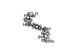 COC(=O)N[C@H](C(=O)N1CCC[C@H]1c1nc(-c2nc3cc4sc(-c5c[nH]c([C@@H]6CCCN6C(=O)[C@@H](NC(=O)O)C(C)C)n5)nc4cc3s2)c[nH]1)C(C)C